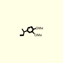 [CH2]C(C=C)c1ccc(OC)c(OC)c1